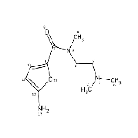 CN(C)CCN(C)C(=O)c1ccc(N)o1